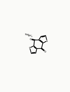 O=C1c2ccsc2C(=O)c2ccsc21.[BH4-].[Na+]